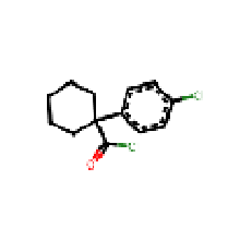 O=C(Cl)C1(c2ccc(Cl)cc2)CCCCC1